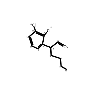 CCCCC(C=O)c1cccc(Cl)c1Cl